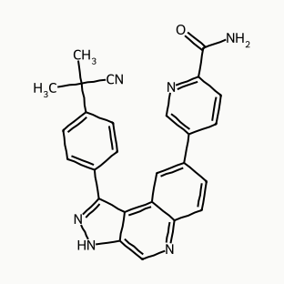 CC(C)(C#N)c1ccc(-c2n[nH]c3cnc4ccc(-c5ccc(C(N)=O)nc5)cc4c23)cc1